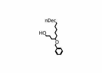 CCCCCCCCCCCCCCCC(CCCO)OCc1ccccc1